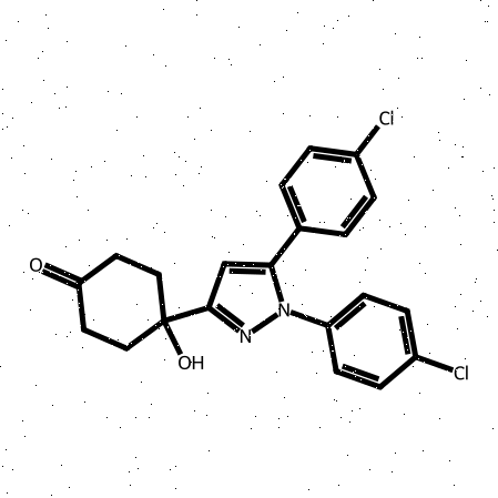 O=C1CCC(O)(c2cc(-c3ccc(Cl)cc3)n(-c3ccc(Cl)cc3)n2)CC1